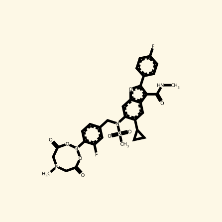 CNC(=O)c1c(-c2ccc(F)cc2)oc2cc(N(Cc3ccc(B4OC(=O)CN(C)CC(=O)O4)c(F)c3)S(C)(=O)=O)c(C3CC3)cc12